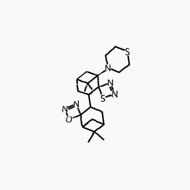 CC1(C)C2CC([C]3CC4CC(N5CCSCC5)(C35N=NS5)C4(C)C)C3(N=NO3)C1C2